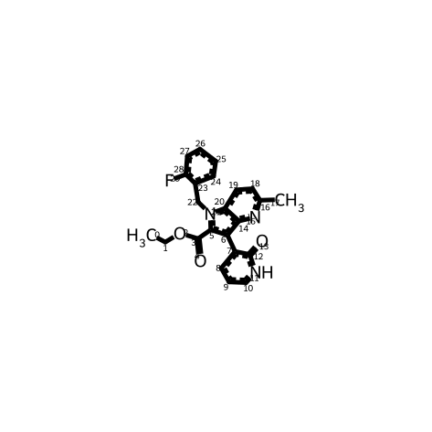 CCOC(=O)c1c(-c2ccc[nH]c2=O)c2nc(C)ccc2n1Cc1ccccc1F